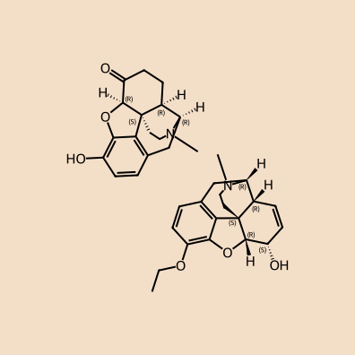 CCOc1ccc2c3c1O[C@H]1[C@@H](O)C=C[C@H]4[C@@H](C2)N(C)CC[C@@]341.CN1CC[C@]23c4c5ccc(O)c4O[C@H]2C(=O)CC[C@H]3[C@H]1C5